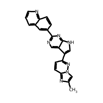 Cc1cn2nc(-c3c[nH]c4nc(-c5ccc6ncccc6c5)ncc34)ccc2n1